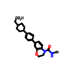 CC(C)NC(=O)N1CCOc2cc(-c3ccc(C4CCC(CC(=O)O)CC4)cc3)ccc21